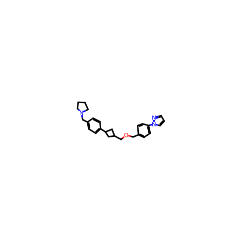 c1cnn(-c2ccc(COCC3CC(c4ccc(CN5CCCC5)cc4)C3)cc2)c1